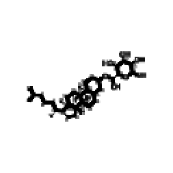 CC(C)CCC[C@@H](C)[C@H]1CC[C@H]2[C@@H]3CC=C4CC(OC(O)[C@H]5OC(S)[C@H](O)[C@@H](O)[C@H]5O)CC[C@]4(C)[C@H]3CC[C@]12C